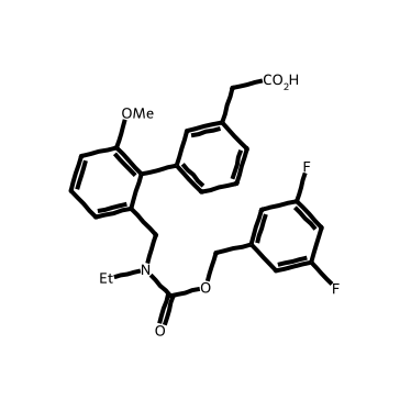 CCN(Cc1cccc(OC)c1-c1cccc(CC(=O)O)c1)C(=O)OCc1cc(F)cc(F)c1